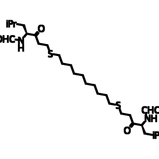 CC(C)C[C@H](NC=O)C(=O)CCSCCCCCCCCCCSCCC(=O)[C@H](CC(C)C)NC=O